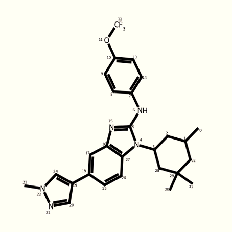 CC1CC(n2c(Nc3ccc(OC(F)(F)F)cc3)nc3cc(-c4cnn(C)c4)ccc32)CC(C)(C)C1